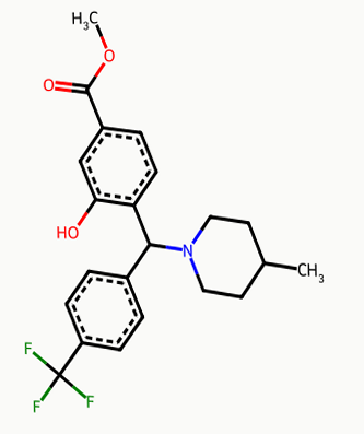 COC(=O)c1ccc(C(c2ccc(C(F)(F)F)cc2)N2CCC(C)CC2)c(O)c1